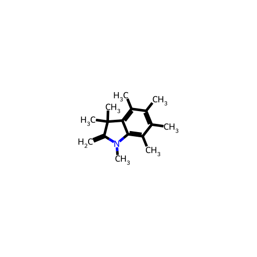 C=C1N(C)c2c(C)c(C)c(C)c(C)c2C1(C)C